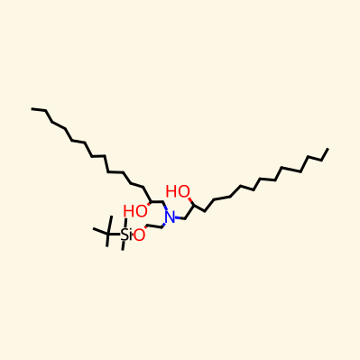 CCCCCCCCCCCCC(O)CN(CCO[Si](C)(C)C(C)(C)C)CC(O)CCCCCCCCCCCC